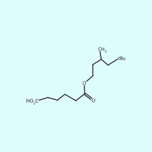 CC(CCOC(=O)CCCCC(=O)O)CC(C)(C)C